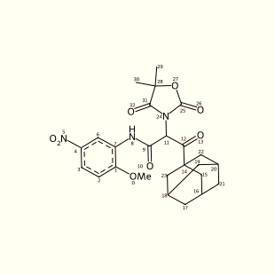 COc1ccc([N+](=O)[O-])cc1NC(=O)C(C(=O)C12CC3CC(CC(C3)C1)C2)N1C(=O)OC(C)(C)C1=O